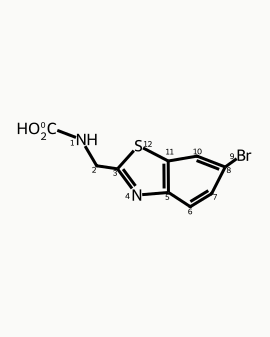 O=C(O)NCc1nc2ccc(Br)cc2s1